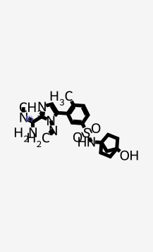 C=Nn1c(-c2cc(S(=O)(=O)NC34CCC(O)(CC3)C4)ccc2C)cnc1/C(N)=N\C